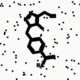 CC(=O)c1ccc(Cn2nnc(CO)c2I)cc1